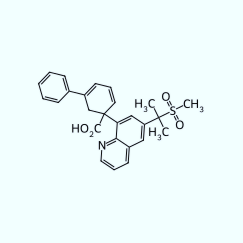 CC(C)(c1cc(C2(C(=O)O)C=CC=C(c3ccccc3)C2)c2ncccc2c1)S(C)(=O)=O